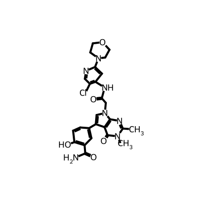 Cc1nc2c(c(-c3ccc(O)c(C(N)=O)c3)cn2CC(=O)Nc2cc(N3CCOCC3)ncc2Cl)c(=O)n1C